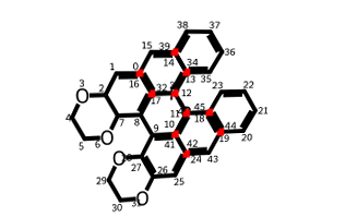 C1=CC2OCCOC2C(c2c(P(c3ccccc3)c3ccccc3)ccc3c2OCCO3)=C1P(c1ccccc1)c1ccccc1